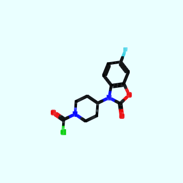 O=C(Cl)N1CCC(n2c(=O)oc3cc(F)ccc32)CC1